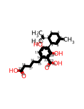 C=C(C)[C@@H]1CCC(C)=C[C@H]1c1c(O)cc(CCCCC(=O)O)c(C(=O)O)c1O